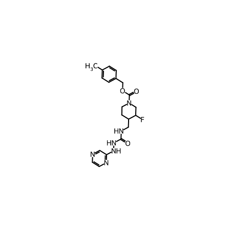 Cc1ccc(COC(=O)N2CCC(CNC(=O)NNc3cnccn3)C(F)C2)cc1